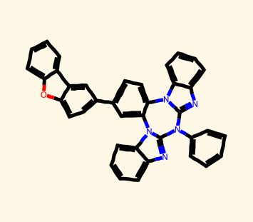 c1ccc(-n2c3nc4ccccc4n3c3ccc(-c4ccc5oc6ccccc6c5c4)cc3n3c4ccccc4nc23)cc1